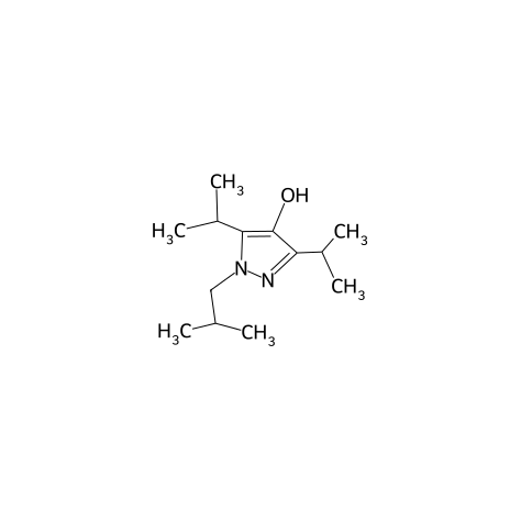 CC(C)Cn1nc(C(C)C)c(O)c1C(C)C